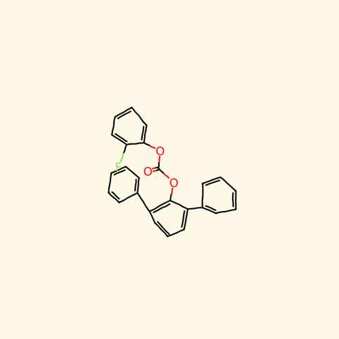 O=C(Oc1ccccc1F)Oc1c(-c2ccccc2)cccc1-c1ccccc1